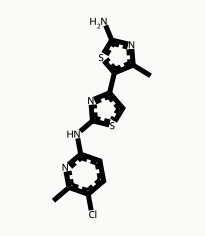 Cc1nc(Nc2nc(-c3sc(N)nc3C)cs2)ccc1Cl